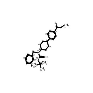 CCC(=O)c1ccc(C2CCC(N(Cc3ccccc3)C(=O)OC(C)(C)C)CC2)cc1